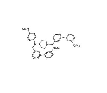 COc1ccc(N(Cc2ccnc(-c3cccc(OC)c3)c2)C2CCN(Cc3ccnc(-c4cccc(OC)c4)c3)CC2)cc1